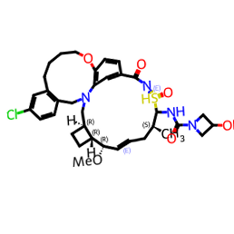 CO[C@H]1/C=C/C[C@H](C)C(NC(=O)N2CC(O)C2)/[SH](=O)=N\C(=O)c2ccc3c(c2)N(Cc2ccc(Cl)cc2CCCCO3)C[C@@H]2CC[C@H]21